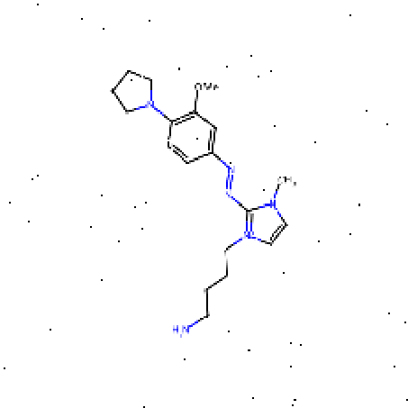 COc1cc(/N=N/c2n(C)cc[n+]2CCCCN)ccc1N1CCCC1